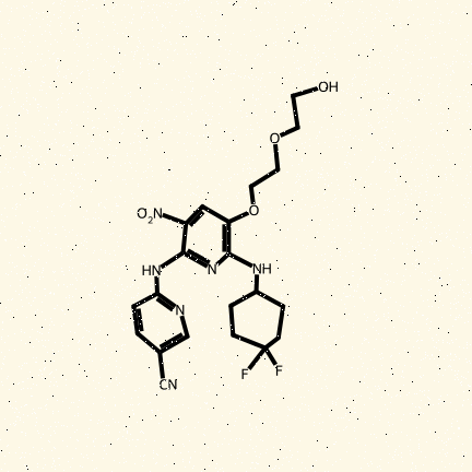 N#Cc1ccc(Nc2nc(NC3CCC(F)(F)CC3)c(OCCOCCO)cc2[N+](=O)[O-])nc1